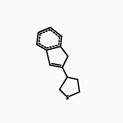 C1=C(C2CCSC2)Cc2ccccc21